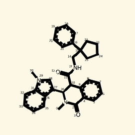 CN1C(=O)c2ccccc2C(C(=O)NCC2(c3ccccc3)CCCC2)C1c1cn(C)c2ccccc12